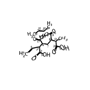 C=CC(C(=O)O)C(CC(C(=O)O)C(C)C(=O)O)C(=O)O.CCCC